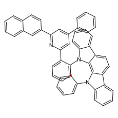 c1ccc(-c2cc(-c3ccc4ccccc4c3)nc(-c3ccccc3-n3c4ccccc4c4ccc5c6ccccc6n(-c6ccccc6)c5c43)c2)cc1